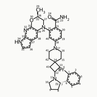 CC(C)c1ccccc1[C@@H]1CCCN1C1CC2(CCN(c3ccc(C(N)=O)c(N4C[C@H](C)Oc5nc6[nH]ccc6cc54)c3)CC2)C1